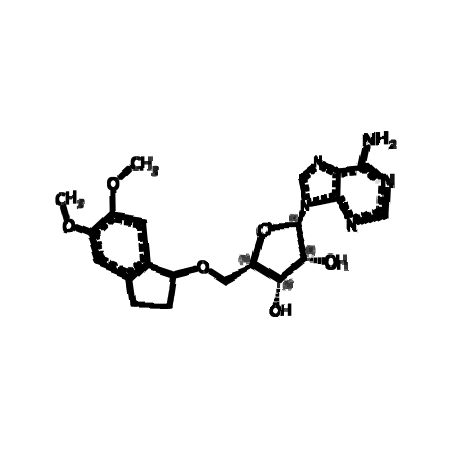 COc1cc2c(cc1OC)C(OC[C@H]1O[C@@H](n3cnc4c(N)ncnc43)[C@H](O)[C@@H]1O)CC2